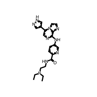 CCN(CC)CCNC(=O)c1ccc(Nc2ncc(-c3cn[nH]c3)n3ccnc23)cn1